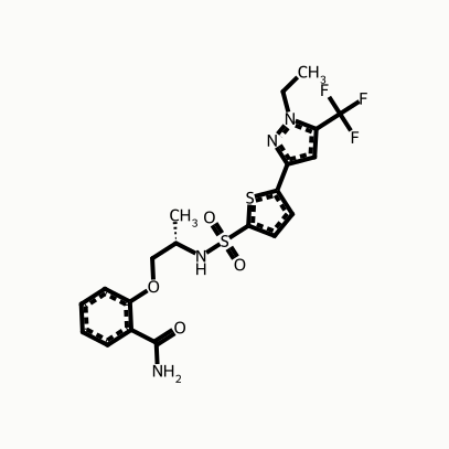 CCn1nc(-c2ccc(S(=O)(=O)N[C@@H](C)COc3ccccc3C(N)=O)s2)cc1C(F)(F)F